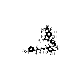 C[C@@H]1O[C@@H](OC2[C@@H](NC(=N)N)C(O)C(NC(=N)N)[C@H](O)[C@@H]2O)C(OC2OC(CO)[C@H](O)[C@H](O)C2N(C)CCNC(=O)Nc2cccc(N=C=O)c2)[C@]1(O)CO